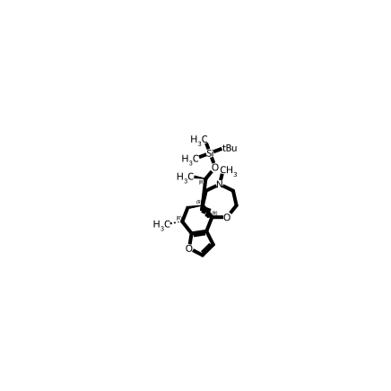 C[C@@H]1C[C@@]23CN(C)CCO[C@@]2(CC=C3[C@@H](C)O[Si](C)(C)C(C)(C)C)c2ccoc21